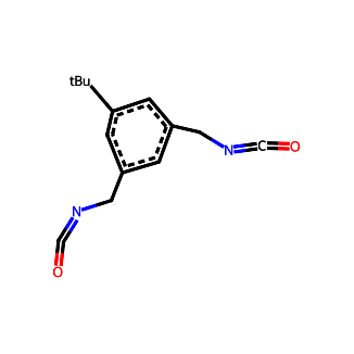 CC(C)(C)c1cc(CN=C=O)cc(CN=C=O)c1